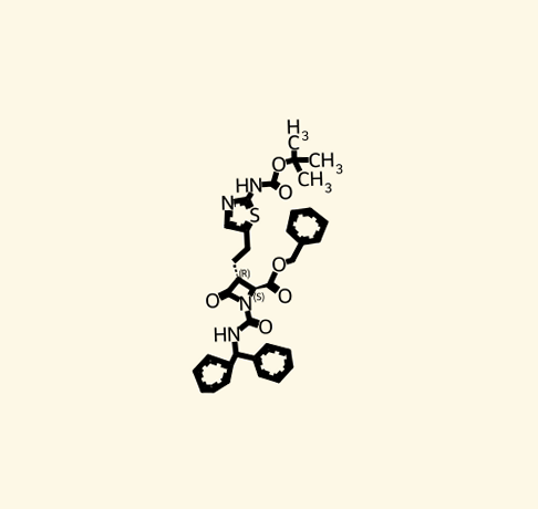 CC(C)(C)OC(=O)Nc1ncc(CC[C@H]2C(=O)N(C(=O)NC(c3ccccc3)c3ccccc3)[C@@H]2C(=O)OCc2ccccc2)s1